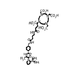 C[C@@H](NC(=O)[C@H]1CC[C@H](CNC(=O)CCCNC(=O)CC[C@H](C(=O)O)N2CCN(CC(=O)O)CCN(CC(=O)O)CCN(CC(=O)O)CC2)CC1)C(=O)N1CCC[C@H]1B(O)O